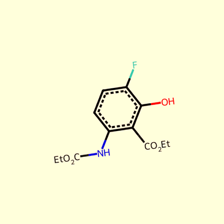 CCOC(=O)Nc1ccc(F)c(O)c1C(=O)OCC